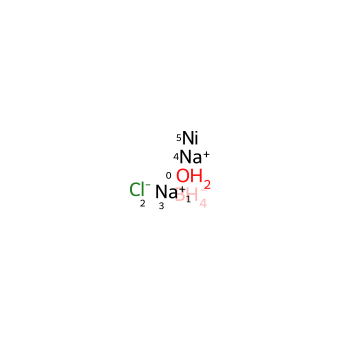 O.[BH4-].[Cl-].[Na+].[Na+].[Ni]